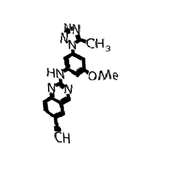 C#Cc1ccc2nc(Nc3cc(OC)cc(-n4nnnc4C)c3)ncc2c1